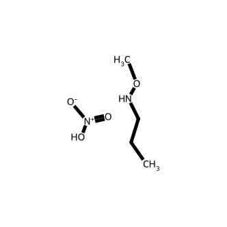 CCCNOC.O=[N+]([O-])O